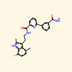 CNC(=O)c1cccc(-c2cccc(C(=O)NCCc3c(C)[nH]c4c(F)ccc(C)c34)n2)c1